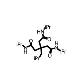 CC(C)CC(CC(=O)NC(C)C)(CC(=O)NC(C)C)CC(=O)NC(C)C